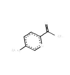 CNc1ccc(C(=O)OC)nc1